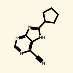 N#Cc1ncnc2nc(C3CCCC3)[nH]c12